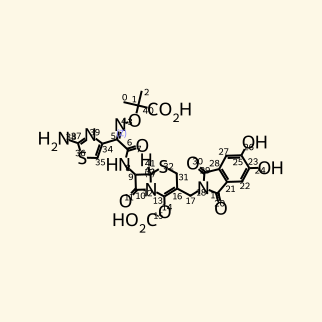 CC(C)(O/N=C(\C(=O)NC1C(=O)N2C(OC(=O)O)=C(CN3C(=O)c4cc(O)c(O)cc4C3=O)CS[C@@H]12)c1csc(N)n1)C(=O)O